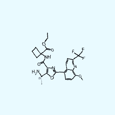 CCOC(=O)C1(NC(=O)c2nc(-c3ccc(OC)c4nc(C(F)(F)F)ccc34)oc2[C@H](C)N)CCC1